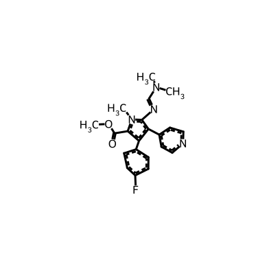 COC(=O)c1c(-c2ccc(F)cc2)c(-c2ccncc2)c(N=CN(C)C)n1C